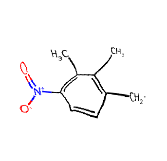 [CH2]c1ccc([N+](=O)[O-])c(C)c1C